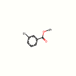 CCCOC(=O)c1cccc(CC)c1